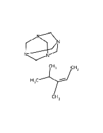 C/C=C(/C)C(C)C.C1N2CN3CN1CN(C2)C3